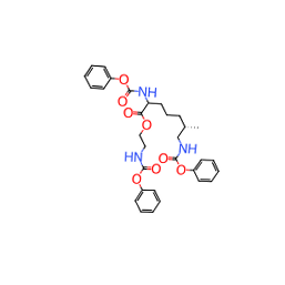 C[C@@H](CCCC(NC(=O)Oc1ccccc1)C(=O)OCCNC(=O)Oc1ccccc1)CNC(=O)Oc1ccccc1